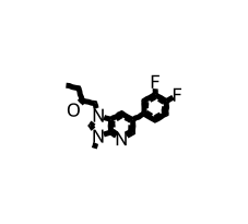 CCC(=O)CN1CN(C)c2ncc(-c3ccc(F)c(F)c3)cc21